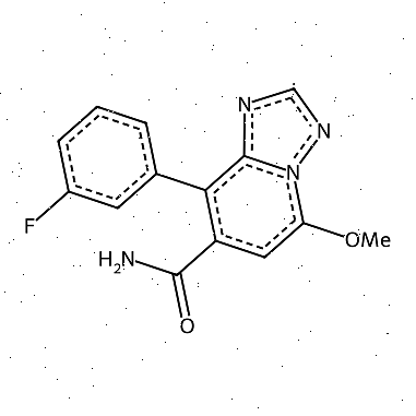 COc1cc(C(N)=O)c(-c2cccc(F)c2)c2n[c]nn12